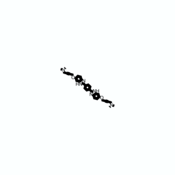 CN(C)CC#CCOc1ccc2nc(-c3ccc(-c4nc5ccc(OCC#CCN(C)C)cc5[nH]4)cc3)[nH]c2c1